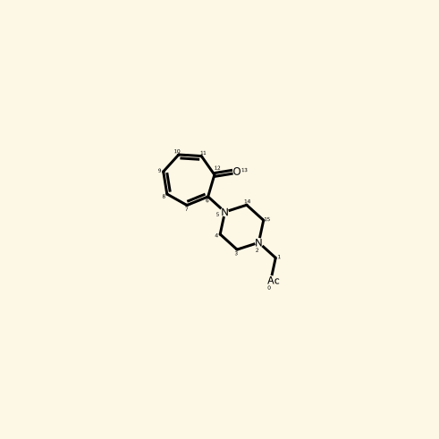 CC(=O)CN1CCN(c2cccccc2=O)CC1